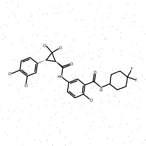 O=C(NC1CCC(F)(F)CC1)c1cc(NC(=O)[C@H]2[C@H](c3ccc(Cl)c(Cl)c3)C2(Cl)Cl)ccc1Cl